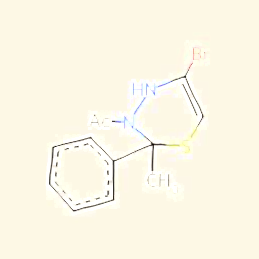 CC(=O)N1NC(Br)=CSC1(C)c1ccccc1